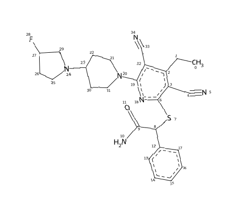 CCc1c(C#N)c(SC(C(N)=O)c2ccccc2)nc(N2CCC(N3CCC(F)C3)CC2)c1C#N